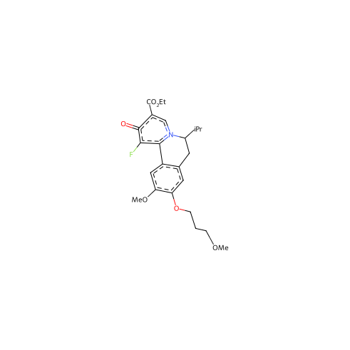 CCOC(=O)c1cn2c(c(F)c1=O)-c1cc(OC)c(OCCCOC)cc1CC2C(C)C